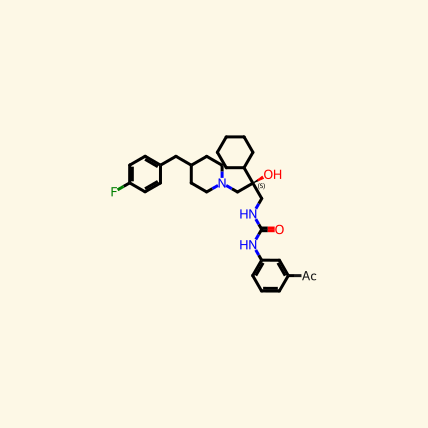 CC(=O)c1cccc(NC(=O)NC[C@](O)(CN2CCC(Cc3ccc(F)cc3)CC2)C2CCCCC2)c1